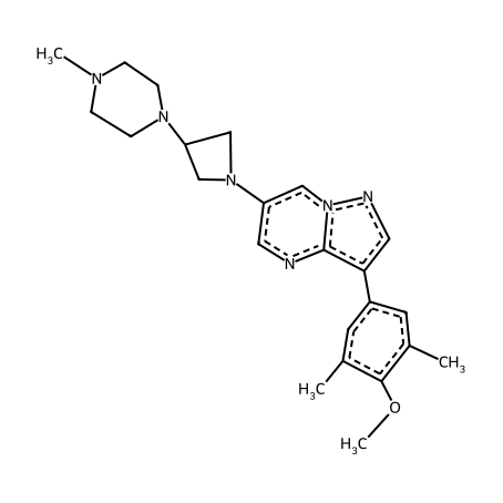 COc1c(C)cc(-c2cnn3cc(N4CC(N5CCN(C)CC5)C4)cnc23)cc1C